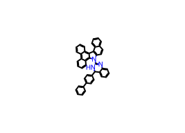 c1ccc(-c2ccc(C3NC(n4c5ccc6ccccc6c5c5c6ccccc6c6ccccc6c54)=Nc4ccccc43)cc2)cc1